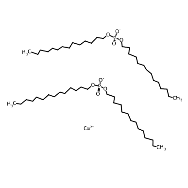 CCCCCCCCCCCCCCOP(=O)([O-])OCCCCCCCCCCCCCC.CCCCCCCCCCCCCCOP(=O)([O-])OCCCCCCCCCCCCCC.[Ca+2]